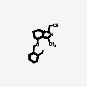 Cc1nc(CC#N)n2cccc(OCc3ccccc3F)c12